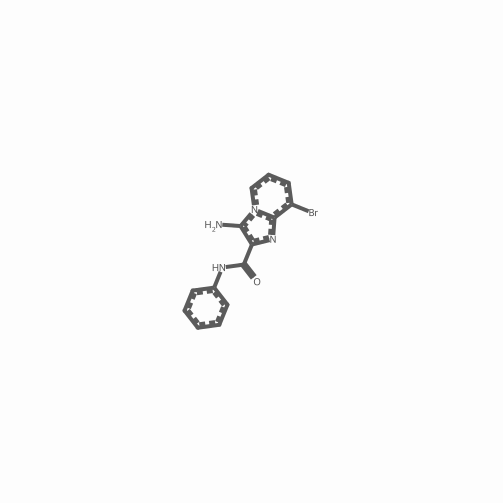 Nc1c(C(=O)Nc2ccccc2)nc2c(Br)cccn12